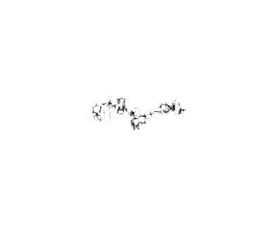 COc1ccc(CNC(=O)C(=O)[C@@H]2CCCN2C(=O)CNC(=O)c2ccnc3ccc(OCCC[N+]4(C)CCN(C(=O)OC(C)(C)C)CC4)cc23)cc1OC.[I-]